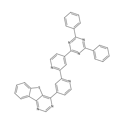 c1ccc(-c2nc(-c3ccccc3)nc(-c3ccnc(-c4cc(-c5ncnc6c5sc5ccccc56)ccn4)c3)n2)cc1